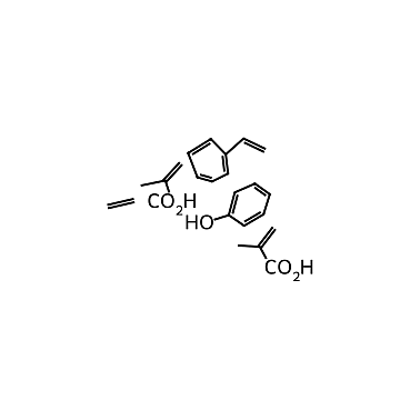 C=C.C=C(C)C(=O)O.C=C(C)C(=O)O.C=Cc1ccccc1.Oc1ccccc1